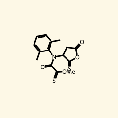 COC(=S)C(=O)N(c1c(C)cccc1C)C1CC(=O)OC1=S